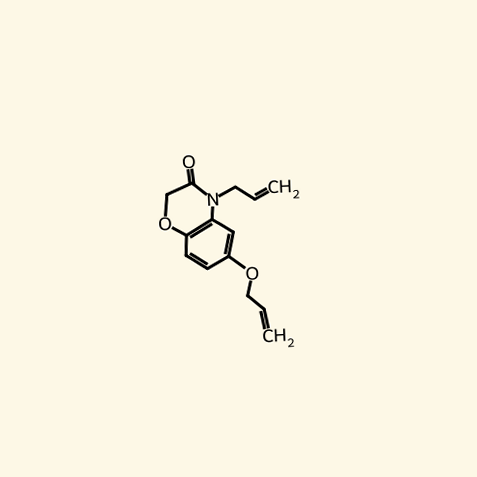 C=CCOc1ccc2c(c1)N(CC=C)C(=O)CO2